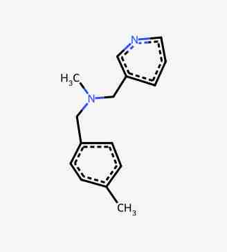 Cc1ccc(CN(C)Cc2cccnc2)cc1